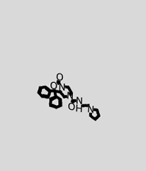 O=C(NCCN1CCCC1)N1CCN2C(=O)OC(c3ccccc3)(c3ccccc3)C2C1